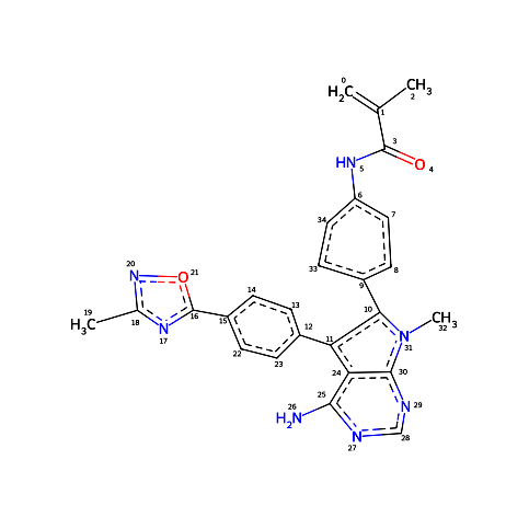 C=C(C)C(=O)Nc1ccc(-c2c(-c3ccc(-c4nc(C)no4)cc3)c3c(N)ncnc3n2C)cc1